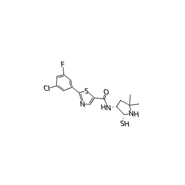 CC1(C)C[C@@H](NC(=O)c2cnc(-c3cc(F)cc(Cl)c3)s2)[C@@H](S)N1